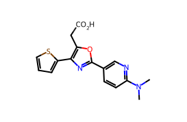 CN(C)c1ccc(-c2nc(-c3cccs3)c(CC(=O)O)o2)cn1